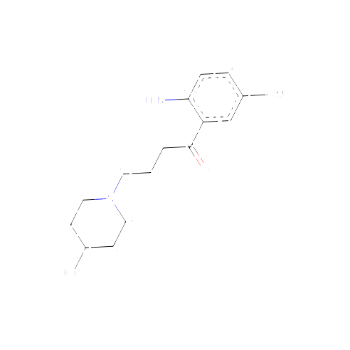 CCCCC1CCN(CCCC(=O)c2cc(OC)ccc2N)CC1